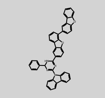 c1ccc(C2N=C(n3c4ccccc4c4ccccc43)N=C(c3ccc4oc5c(-c6ccc7oc8ccccc8c7c6)cccc5c4c3)N2)cc1